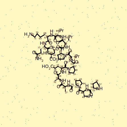 CC(C)C[C@H](NC(=O)[C@@H]1CCCN1C(=O)[C@@H](NC(=O)[C@@H]1CCCN1C(=O)[C@H](CCC(=O)O)NC(=O)[C@H](C)NC(=O)[C@H](C)NC(=O)[C@@H]1CCCN1C(=O)[C@H](CC(C)C)NC(=O)[C@@H]1CCCN1)C(C)C)C(=O)N[C@H](C(=O)N[C@@H](CCCCN)C(=O)N[C@@H](CCC(N)=O)C(=O)N[C@@H](CC(=O)O)C(=O)O)C(C)C